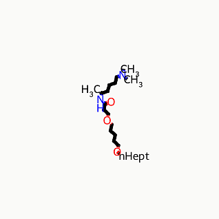 CCCCCCCOCCCCCOCCC(=O)NC(C)CCCCN(C)C